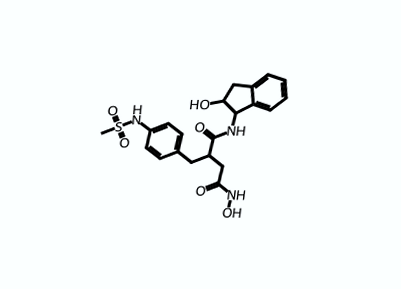 CS(=O)(=O)Nc1ccc(CC(CC(=O)NO)C(=O)NC2c3ccccc3CC2O)cc1